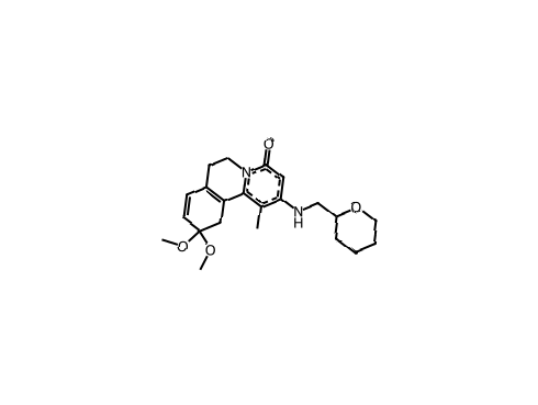 COC1(OC)C=CC2=C(C1)c1c(C)c(NCC3CCCCO3)cc(=O)n1CC2